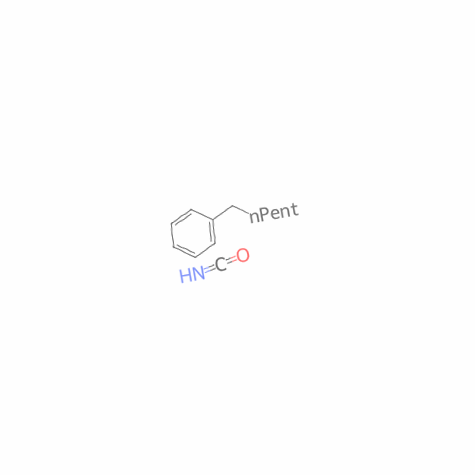 CCCCCCc1ccccc1.N=C=O